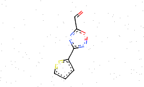 O=Cc1nc(-c2cccs2)no1